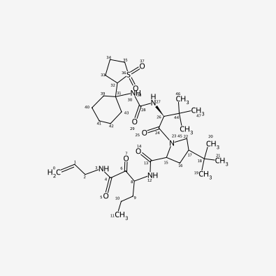 C=CCNC(=O)C(=O)C(CCC)NC(=O)C1CC(C(C)(C)C)CN1C(=O)[C@@H](NC(=O)NC1(C2CCCS2(=O)=O)CCCCC1)C(C)(C)C